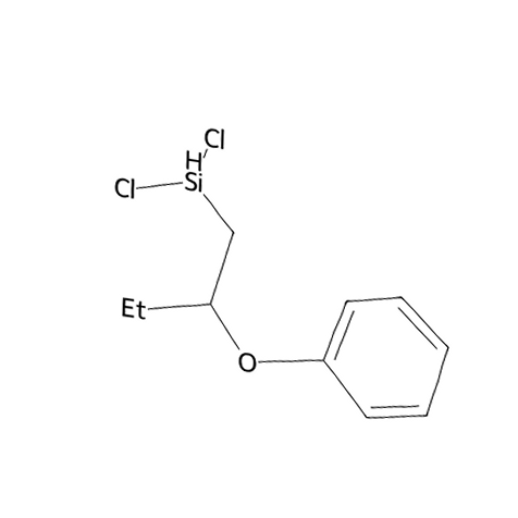 CCC(C[SiH](Cl)Cl)Oc1ccccc1